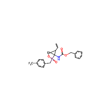 C=CC1CC1(NC(=O)OCc1ccccc1)P(=O)(Cc1ccc(C(F)(F)F)cc1)OCC